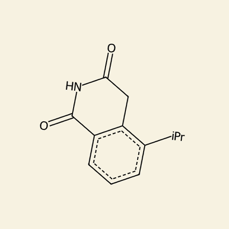 CC(C)c1cccc2c1CC(=O)NC2=O